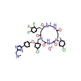 COC[C@@H]1NC(=O)[C@H](C)N(Cc2ccc(Cl)cc2Oc2ccc(-c3cnc(CN(C)C)n3C)cc2)C(=O)C[C@@H](Cc2ccc(F)c(F)c2F)C(=O)N(C)[C@@H](C)[C@H](C)NC(=O)C[C@H](Cc2ccc(Cl)cc2)N(C)C1=O